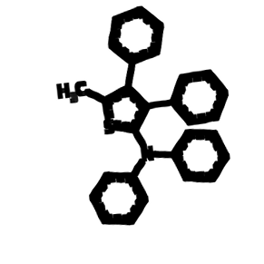 Cc1sc(N(c2ccccc2)c2ccccc2)c(-c2ccccc2)c1-c1ccccc1